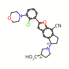 N#Cc1c2c(cc3cc(-c4cccc(N5CCOCC5)c4Cl)oc13)[C@H](N1CC[C@@H](C(=O)O)C1)CC2